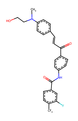 CN(CCO)c1ccc(/C=C/C(=O)c2ccc(NC(=O)c3ccc(C(F)(F)F)c(F)c3)cc2)cc1